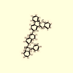 Cc1ccccc1/N=C1\Cc2ccccc2-c2ccc(-c3ccc4cc(-c5nc6ccccc6n5-c5ccccc5)ccc4c3)cc21